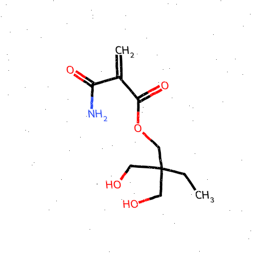 C=C(C(N)=O)C(=O)OCC(CC)(CO)CO